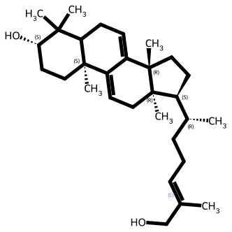 C/C(=C\CC[C@@H](C)[C@@H]1CC[C@@]2(C)C3=CCC4C(C)(C)[C@@H](O)CC[C@]4(C)C3=CC[C@]12C)CO